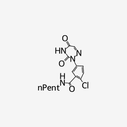 CCCCCNC(=O)c1cc(-n2ncc(=O)[nH]c2=O)ccc1Cl